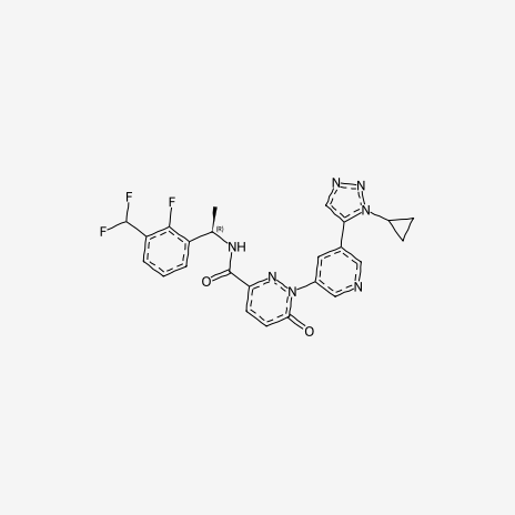 C[C@@H](NC(=O)c1ccc(=O)n(-c2cncc(-c3cnnn3C3CC3)c2)n1)c1cccc(C(F)F)c1F